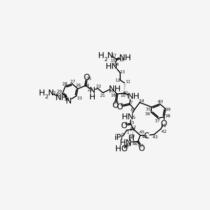 CC(C)C[C@H]1C(=O)NC(C(=O)N[C@@H](CCCNC(=N)N)C(=O)NCCNC(=O)c2ccc(NN)nc2)Cc2ccc(cc2)OCCCC1C(=O)NO